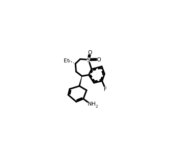 CC[C@H]1C[C@H](C2C=CC=C(N)C2)c2cc(F)ccc2S(=O)(=O)C1